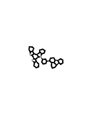 c1cc(-c2ccc3c4c(cccc24)-c2ccccc2-3)cc(-n2c3ccccc3c3c4c5ccccc5sc4c4sc5ccccc5c4c32)c1